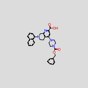 O=C(O)c1cc(N2CCN(C(=O)OCc3ccccc3)CC2)c2c(n1)CN(c1cccc3ccccc13)CC2